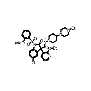 CCOc1ncccc1C1(C(=O)NN2CCC(N3CCN(CC)CC3)CC2)C(=O)N(S(=O)(=O)c2ccccc2OC)c2ccc(Cl)cc21